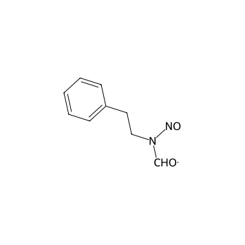 O=[C]N(CCc1ccccc1)N=O